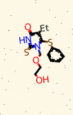 CCc1c(Sc2ccccc2)n(COCCO)c(=S)[nH]c1=O